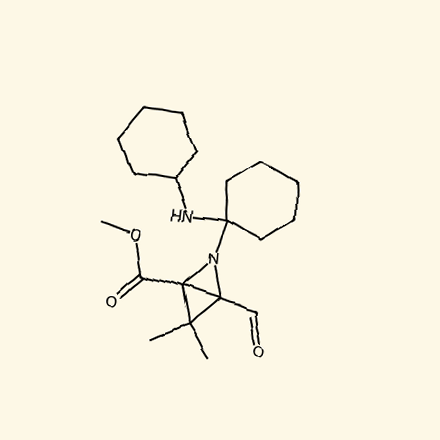 COC(=O)C12N(C3(NC4CCCCC4)CCCCC3)C1(C=O)C2(C)C